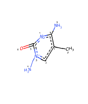 Cc1cn(N)c(=O)nc1N